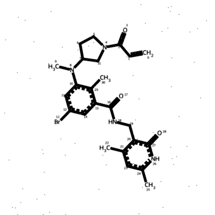 C=CC(=O)N1CCC(N(C)c2cc(Br)cc(C(=O)NCc3c(C)cc(C)[nH]c3=O)c2C)C1